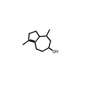 CC1=C2CCC(O)CC(C)C2CC1